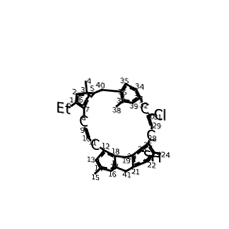 CCc1cc(C)c2cc1C/C=C\Cc1cc(C)cc3c1Cc1c(cc(C)c(c1S)C/C=C(/Cl)Cc1ccc(c(C)c1)C2)C3